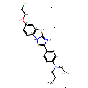 CCCN(CC)c1ccc(-c2cn3c(n2)sc2cc(OCCF)ccc23)cc1